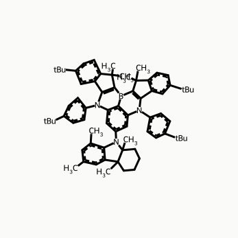 Cc1cc(C)c2c(c1)C1(C)CCCCC1(C)N2c1cc2c3c(c1)N(c1ccc(C(C)(C)C)cc1)C1=C(B3C3=C(c4cc(C(C)(C)C)ccc4C3(C)C)N2c2ccc(C(C)(C)C)cc2)C(C)(C)c2ccc(C(C)(C)C)cc21